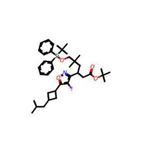 CC(C)CC1CC(c2onc(C(CC(=O)OC(C)(C)C)CC(C)(C)CO[Si](c3ccccc3)(c3ccccc3)C(C)(C)C)c2I)C1